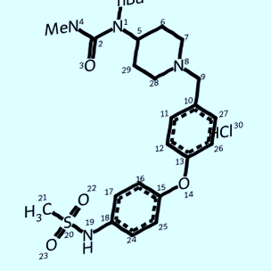 CCCCN(C(=O)NC)C1CCN(Cc2ccc(Oc3ccc(NS(C)(=O)=O)cc3)cc2)CC1.Cl